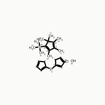 C1=CC[C]([Zr][C]2=CC=CC2)=C1.CC1=C(C)C(C)(C)[C]([Ti]([CH3])([CH3])[CH3])=C1C.Cl.Cl